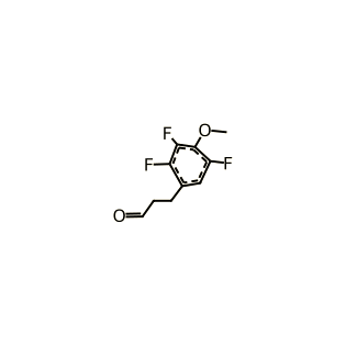 COc1c(F)cc(CCC=O)c(F)c1F